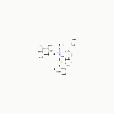 c1ccc(-c2cccc3cccc(-c4ccc(N(c5cc(-c6cccc7ccccc67)c6ccccc6c5)c5cccc6c5c5ccccc5n6-c5ccccc5)cc4)c23)cc1